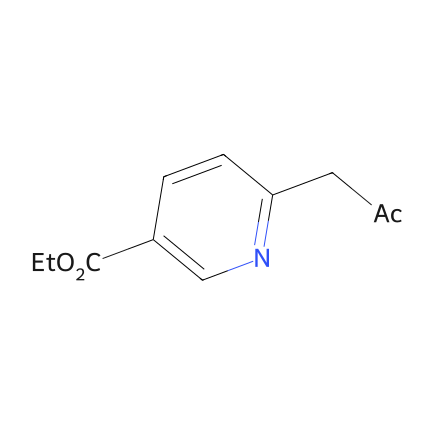 CCOC(=O)c1ccc(CC(C)=O)nc1